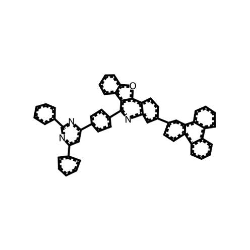 c1ccc(-c2cc(-c3ccc(-c4nc5cc(-c6ccc7c8ccccc8c8ccccc8c7c6)ccc5c5oc6ccccc6c45)cc3)nc(-c3ccccc3)n2)cc1